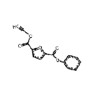 C#COC(=O)c1ccc(C(=O)Oc2ccccc2)o1